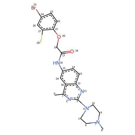 Cc1nc(N2CCN(C)CC2)nc2ccc(NC(=O)COc3ccc(Br)cc3F)cc12